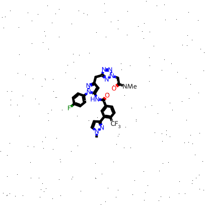 CNC(=O)Cn1nnc(Cc2cc(NC(=O)c3ccc(C(F)(F)F)c(-c4ccn(C)n4)c3)n(-c3ccc(F)cc3)n2)n1